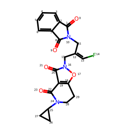 O=C1c2ccccc2C(=O)N1C/C(=C\F)Cn1oc2c(c1=O)C(=O)N(C1CC1)CC2